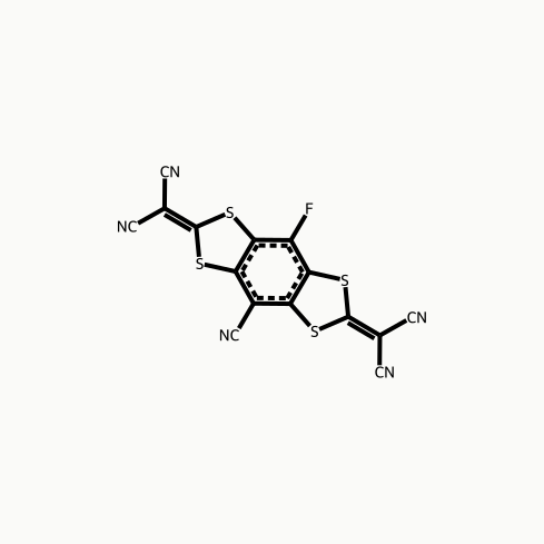 N#CC(C#N)=C1Sc2c(F)c3c(c(C#N)c2S1)SC(=C(C#N)C#N)S3